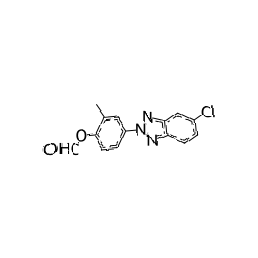 Cc1cc(-n2nc3ccc(Cl)cc3n2)ccc1OC=O